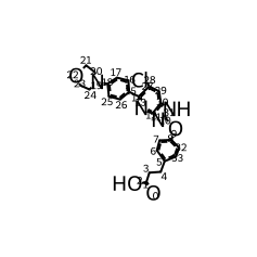 O=C(O)CCc1ccc(Oc2nc3nc(-c4ccc(N5CCOCC5)cc4)c(Cl)cc3[nH]2)cc1